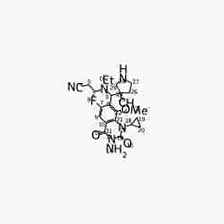 CCN(CCC#N)C(c1c(F)cc2c(=O)n(N)c(=O)n(C3CC3)c2c1OC)C1(C)CCNC1